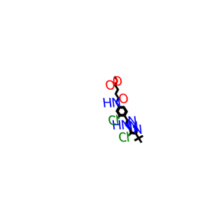 COC(=O)CCC(=O)Nc1ccc(-c2nn3nc(C(C)(C)C)c(Cl)c3[nH]2)c(Cl)c1